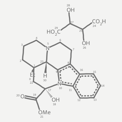 CC[C@]12CCCN3CCc4c(n(c5ccccc45)[C@@](O)(C(=O)OC)C1)[C@@H]32.O=C(O)C(O)C(O)C(=O)O